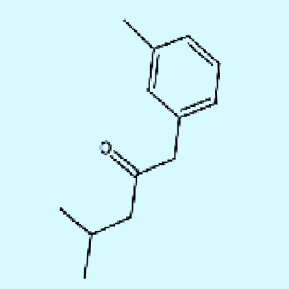 Cc1cccc(CC(=O)CC(C)C)c1